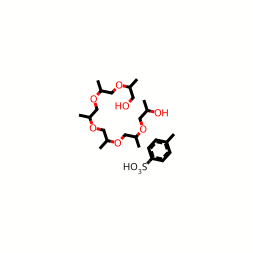 CC(O)COC(C)COC(C)COC(C)COC(C)COC(C)CO.Cc1ccc(S(=O)(=O)O)cc1